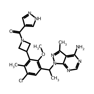 COc1c(C(C)n2nc(C)c3c(N)ncnc32)cc(Cl)c(C)c1C1CN(C(=O)c2cn[nH]c2)C1